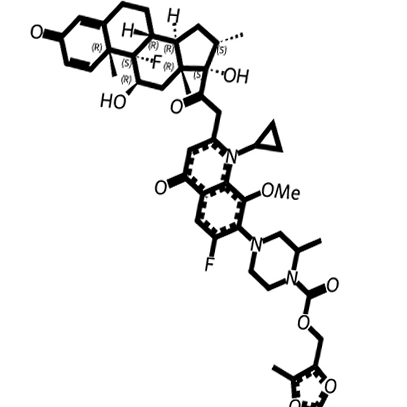 COc1c(N2CCN(C(=O)OCc3oc(=O)oc3C)C(C)C2)c(F)cc2c(=O)cc(CC(=O)[C@]3(O)[C@@H](C)C[C@@H]4[C@H]5CCC6=CC(=O)C=C[C@@]6(C)[C@]5(F)[C@H](O)C[C@]43C)n(C3CC3)c12